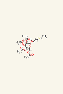 CCSCCCOC1OC(COC(C)=O)C(OC(C)=O)C(OC(C)=O)C1OC(C)=O